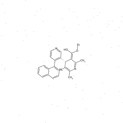 CCO/C(O)=C1\C(C)=NC(C)=C(C#N)[C@@H]1c1cnccc1-c1cccc2ccccc12